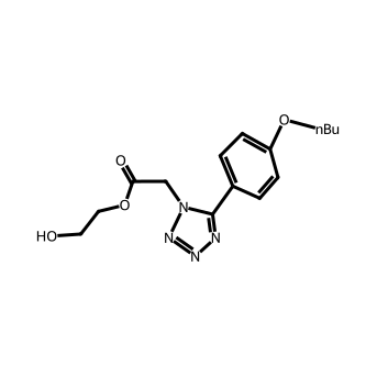 CCCCOc1ccc(-c2nnnn2CC(=O)OCCO)cc1